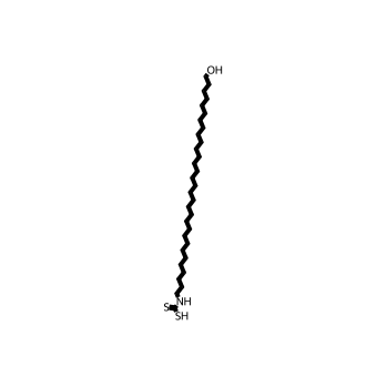 OCCCCCCCCCCCCCCCCCCCCCCCCCCCCCCCNC(=S)S